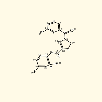 O=C(c1cccc(F)c1)N1CCC(NCc2ccc(F)cc2F)=N1